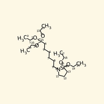 CCO[Si](CCCCCCN1CCC[Si]1(OCC)OCC)(OCC)OCC